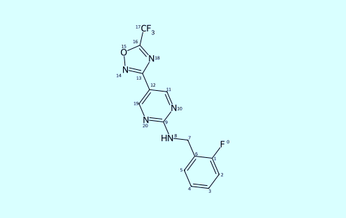 Fc1ccccc1CNc1ncc(-c2noc(C(F)(F)F)n2)cn1